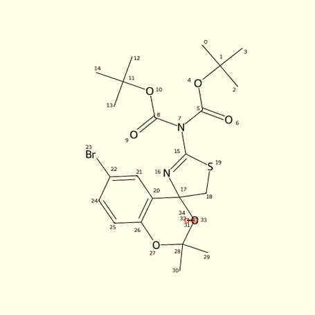 CC(C)(C)OC(=O)N(C(=O)OC(C)(C)C)C1=NC2(CS1)c1cc(Br)ccc1OC(C)(C)C21COC1